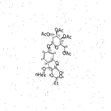 CCCCCCOc1c(OC(=O)CC)c(=O)oc2cc(O[C@@H]3O[C@H](COC(C)=O)[C@H](OC(C)=O)[C@H](OC(C)=O)[C@H]3OC(C)=O)ccc12